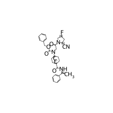 C[C@H](NC(=O)C12CCC(N(CC(=O)N3C[C@@H](F)C[C@H]3C#N)C(=O)OCc3ccccc3)(CC1)CC2)c1ccccc1